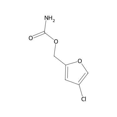 NC(=O)OCc1cc(Cl)co1